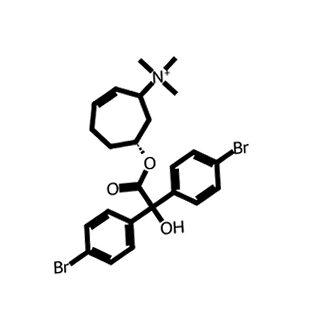 C[N+](C)(C)C1C=CCC[C@@H](OC(=O)C(O)(c2ccc(Br)cc2)c2ccc(Br)cc2)C1